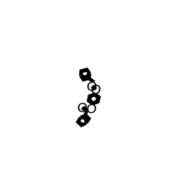 O=C(Oc1ccc(OOCC2CC3C=CC2C3)cc1)C1CC2C=CC1C2